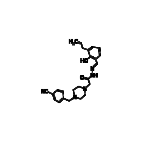 C=CCc1cccc(C=NNC(=O)CN2CCN(Cc3ccc(C#N)cc3)CC2)c1O